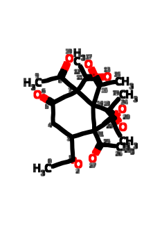 CC(=O)C1CC(=O)C(C(C)=O)(C(C)=O)C(C(C)=O)(C(C)=O)C1(C(C)=O)C(C)=O